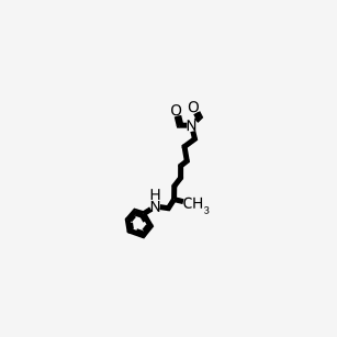 CC(CCCCCCN(C=O)C=O)CNc1ccccc1